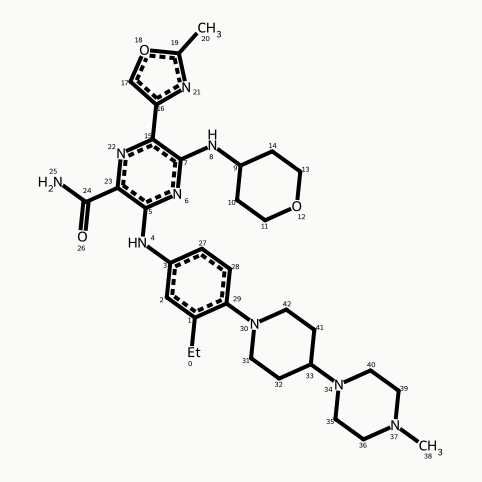 CCc1cc(Nc2nc(NC3CCOCC3)c(-c3coc(C)n3)nc2C(N)=O)ccc1N1CCC(N2CCN(C)CC2)CC1